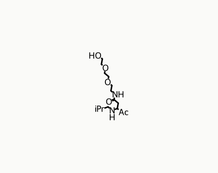 CC(=O)C(CC(=O)NCCOCCOCCO)NCC(C)C